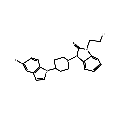 CCCn1c(=O)n(N2CCC(n3ccc4cc(F)ccc43)CC2)c2ccccc21